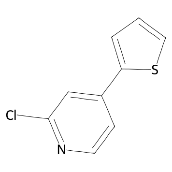 Clc1cc(-c2cccs2)ccn1